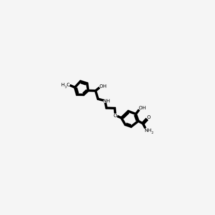 Cc1ccc(C(O)CNCCOc2ccc(C(N)=O)c(O)c2)cc1